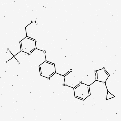 NCc1cc(Oc2ccnc(C(=O)Nc3cccc(-c4nncn4C4CC4)n3)c2)nc(C(F)(F)F)c1